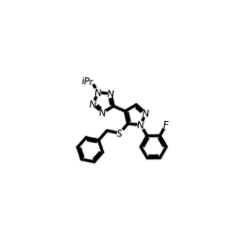 CC(C)n1nnc(-c2cnn(-c3ccccc3F)c2SCc2ccccc2)n1